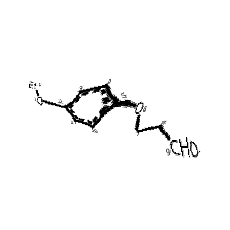 CCOc1ccc(OCC[C]=O)cc1